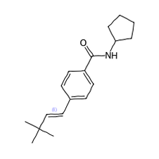 CC(C)(C)/C=C/c1ccc(C(=O)NC2CCCC2)cc1